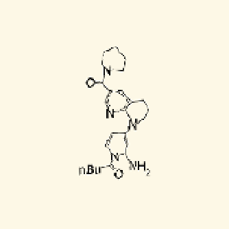 CCCCC(=O)N1C=CC(N2CCCc3cc(C(=O)N4CCCCC4)cnc32)=CC1N